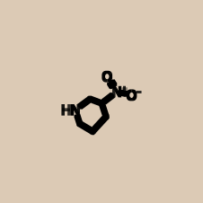 O=[N+]([O-])C1CCCNC1